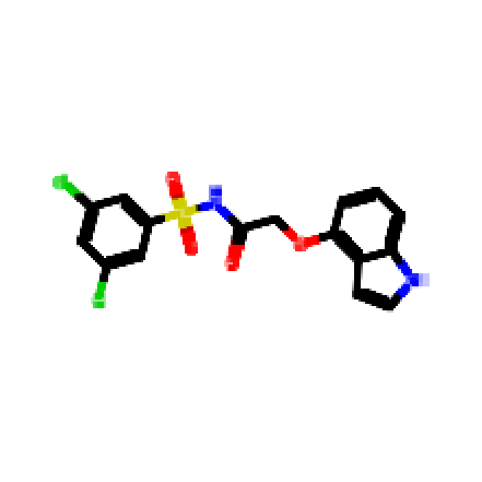 O=C(COc1cccc2[nH]ccc12)NS(=O)(=O)c1cc(Cl)cc(Cl)c1